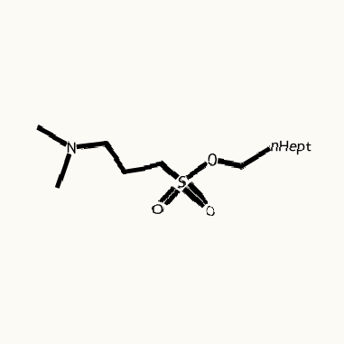 CCCCCCCCOS(=O)(=O)CCCN(C)C